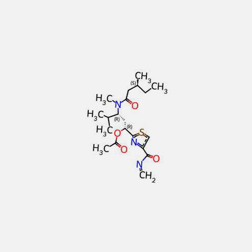 C=NC(=O)c1csc([C@@H](C[C@H](C(C)C)N(C)C(=O)C[C@@H](C)CC)OC(C)=O)n1